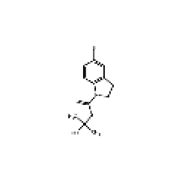 CC(C)(O)CC(=O)N1CCc2cc(Br)ccc21